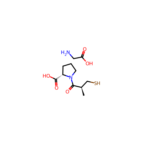 C[C@H](CS)C(=O)N1CCC[C@H]1C(=O)O.NCC(=O)O